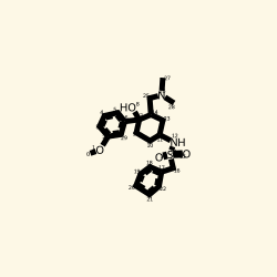 COc1cccc(C2(O)CCC(NS(=O)(=O)Cc3ccccc3)CC2CN(C)C)c1